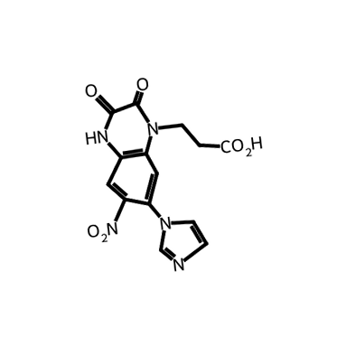 O=C(O)CCn1c(=O)c(=O)[nH]c2cc([N+](=O)[O-])c(-n3ccnc3)cc21